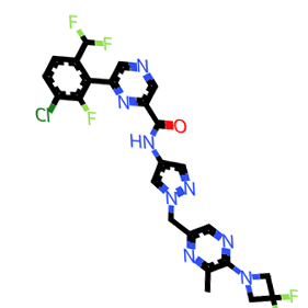 Cc1nc(Cn2cc(NC(=O)c3cncc(-c4c(C(F)F)ccc(Cl)c4F)n3)cn2)cnc1N1CC(F)(F)C1